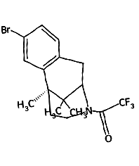 CC1(C)C2Cc3ccc(Br)cc3[C@]1(C)CCN2C(=O)C(F)(F)F